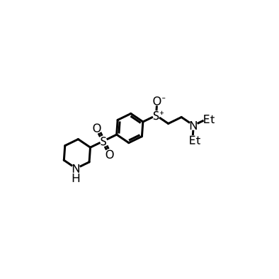 CCN(CC)CC[S+]([O-])c1ccc(S(=O)(=O)C2CCCNC2)cc1